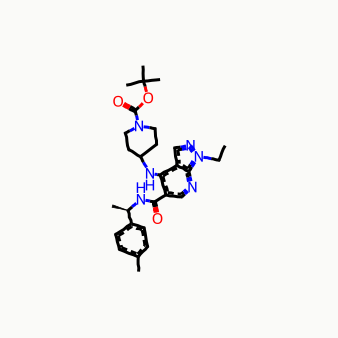 CCn1ncc2c(NC3CCN(C(=O)OC(C)(C)C)CC3)c(C(=O)N[C@H](C)c3ccc(C)cc3)cnc21